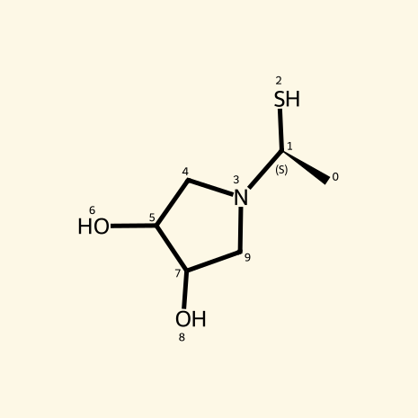 C[C@H](S)N1CC(O)C(O)C1